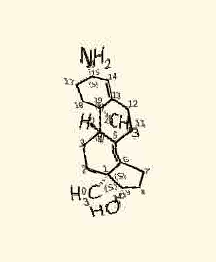 C[C@]12CC[C@H]3C(=C1CC[C@@H]2O)CCC1=C[C@@H](N)CC[C@@]13C